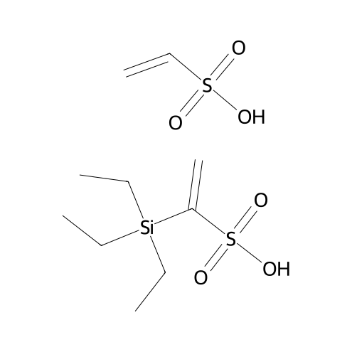 C=C([Si](CC)(CC)CC)S(=O)(=O)O.C=CS(=O)(=O)O